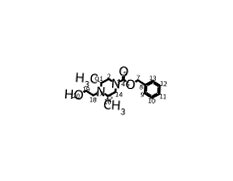 C[C@@H]1CN(C(=O)OCc2ccccc2)C[C@H](C)N1CCO